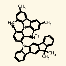 Cc1cc(C)c2c(c1)c1cc(C)cc(C)c1n2-c1c(C#N)ccc(-n2c3ccccc3c3cc4c(cc32)-c2ccccc2C4(C)C)c1C#N